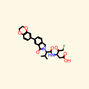 CC(C)C(C(=O)NC(CC(=O)O)C(=O)CF)N1Cc2ccc(-c3ccc4c(c3)OCCO4)cc2C1=O